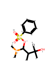 CCC(C)(O)C(C)C(OS(=O)(=O)c1ccccc1)P(C)C